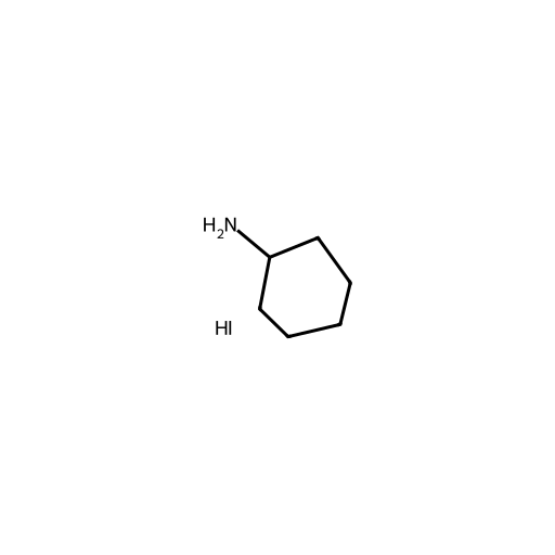 I.NC1CCCCC1